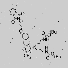 CC(C)(C)OC(=O)NCCCN(CCCNC(=O)OC(C)(C)C)/C(=N/C(=O)C(F)(F)F)N1CCc2cc(OCCON3C(=O)c4ccccc4C3=O)ccc2C1